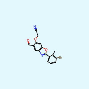 Cc1c(Br)cccc1-c1nc2cc(C=O)c(OCC#N)cc2o1